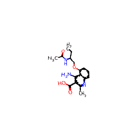 CCC(COc1cccc2nc(C)c(C(=O)O)c(N)c12)NC(C)=O